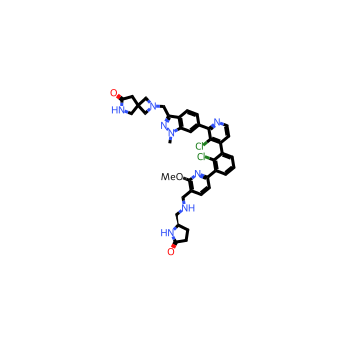 COc1nc(-c2cccc(-c3ccnc(-c4ccc5c(CN6CC7(CNC(=O)C7)C6)nn(C)c5c4)c3Cl)c2Cl)ccc1CNC[C@H]1CCC(=O)N1